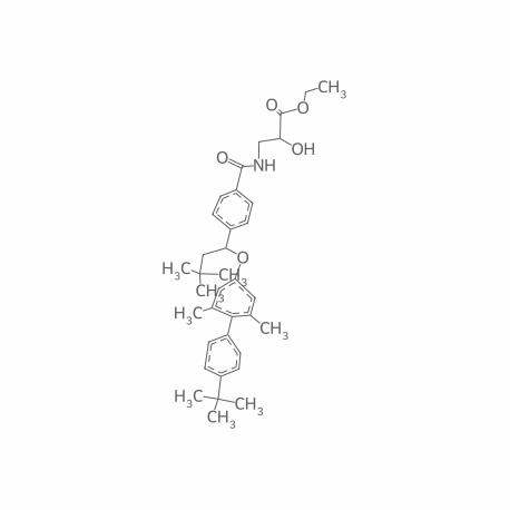 CCOC(=O)C(O)CNC(=O)c1ccc(C(CC(C)(C)C)Oc2cc(C)c(-c3ccc(C(C)(C)C)cc3)c(C)c2)cc1